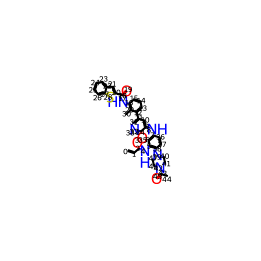 C=CC(=O)Nc1cc(Nc2cc(-c3cccc(NC(=O)c4cc5ccccc5s4)c3C)cn(C)c2=O)ccc1N1CCN(C(C)=O)CC1